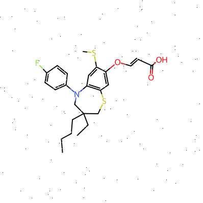 CCCCC1(CC)CSc2cc(O/C=C/C(=O)O)c(SC)cc2N(c2ccc(F)cc2)C1